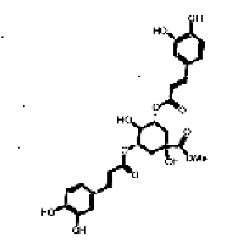 COC(=O)C1(O)C[C@@H](OC(=O)/C=C/c2ccc(O)c(O)c2)C(O)[C@H](OC(=O)/C=C/c2ccc(O)c(O)c2)C1